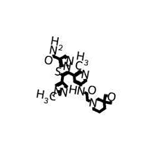 Cc1ncc(NC(=O)CN2CCCC3(COC3)C2)cc1-c1c(-c2cnn(C)c2)sc2c(C(N)=O)cnn12